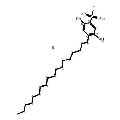 CCCCCCCCCCCCCCCCCCc1cc(O)c(S(=O)(=O)[O-])cc1O.[K+]